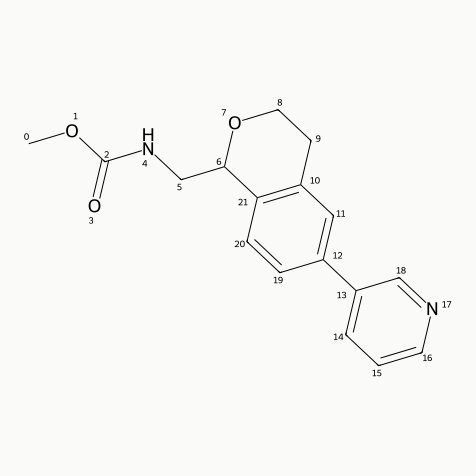 COC(=O)NCC1OCCc2cc(-c3cccnc3)ccc21